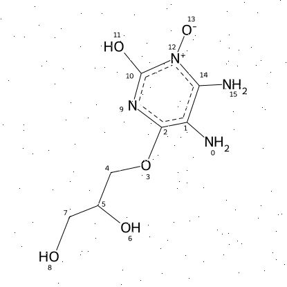 Nc1c(OCC(O)CO)nc(O)[n+]([O-])c1N